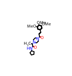 COc1cc(C=CC(=O)N2CCN(C(C)C(=O)NC3CCCC3)CC2)cc(OC)c1OC